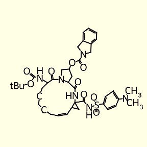 CN(C)c1ccc(S(=O)(=O)NC(=O)C23CC2C=CCCCCCC(NC(=O)OC(C)(C)C)C(=O)N2CC(OC(=O)N4Cc5ccccc5C4)CC2C(=O)N3)cc1